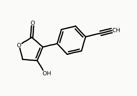 C#Cc1ccc(C2=C(O)COC2=O)cc1